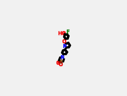 O=S1(=O)CCN(c2ccc(-c3cccc(Oc4ccc(F)c(O)c4)n3)cc2)CC1